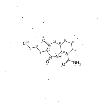 NC(=O)C1=C2NC(=O)N(CCCCl)C(=O)CC2CCC1